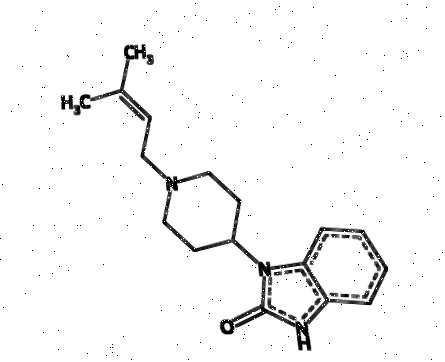 CC(C)=CCN1CCC(n2c(=O)[nH]c3ccccc32)CC1